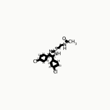 CC(=O)NCCSc1nc(-c2ccc(Cl)cc2)c(-c2ccc(Cl)cc2)[nH]1